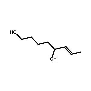 CC=CC(O)CCCCO